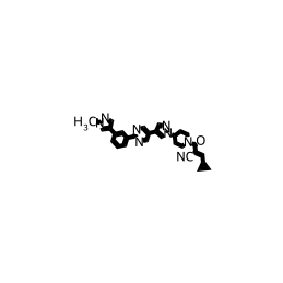 Cn1cc(-c2cccc(-c3ncc(-c4cnn(C5CCN(C(=O)/C(C#N)=C/C6CC6)CC5)c4)cn3)c2)cn1